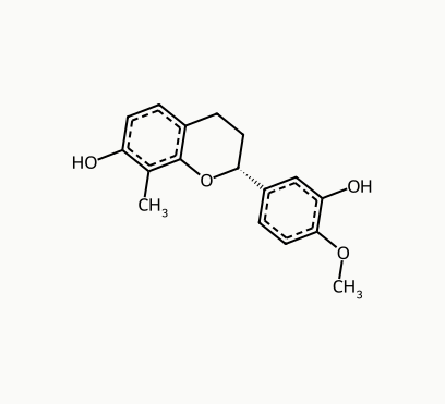 COc1ccc([C@H]2CCc3ccc(O)c(C)c3O2)cc1O